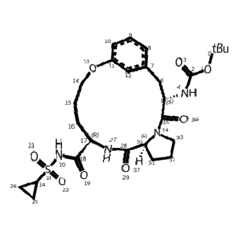 CC(C)(C)OC(=O)N[C@H]1Cc2cccc(c2)OCCC[C@H](C(=O)NS(=O)(=O)C2CC2)NC(=O)[C@@H]2CCCN2C1=O